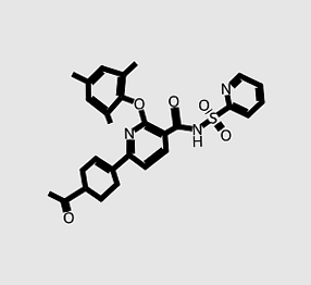 CC(=O)C1CC=C(c2ccc(C(=O)NS(=O)(=O)c3ccccn3)c(Oc3c(C)cc(C)cc3C)n2)CC1